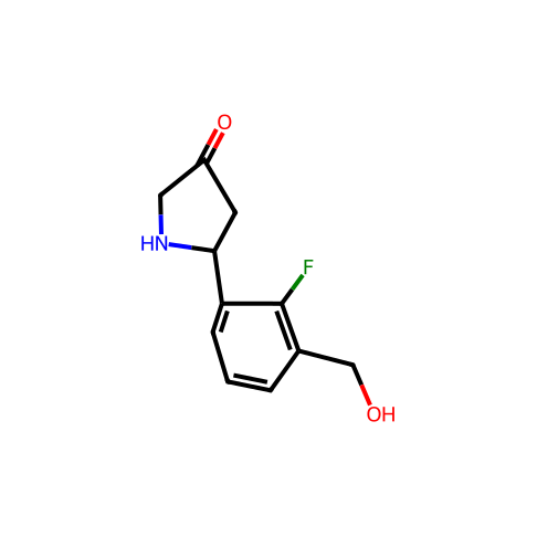 O=C1CNC(c2cccc(CO)c2F)C1